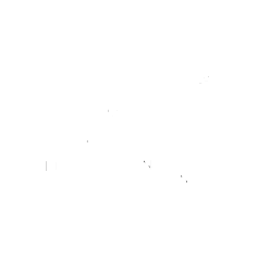 CCC1(C)Cn2ncc(Br)c2O1